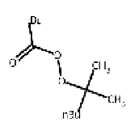 CCCCC(C)(C)OOC(=O)C(C)(C)C